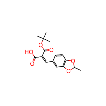 CC1Oc2ccc(C=C(C(=O)O)C(=O)OC(C)(C)C)cc2O1